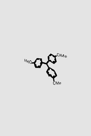 COc1ccc(C(c2ccc(OC)cc2)c2ccc(OC)cc2)cc1